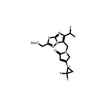 COCc1nn2c(CN3CC([C@H]4CC4(F)F)=CC3=O)c(C(F)F)nc2s1